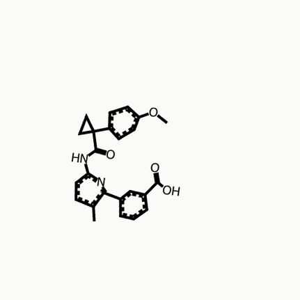 COc1ccc(C2(C(=O)Nc3ccc(C)c(-c4cccc(C(=O)O)c4)n3)CC2)cc1